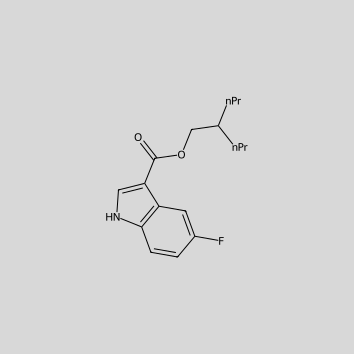 CCCC(CCC)COC(=O)c1c[nH]c2ccc(F)cc12